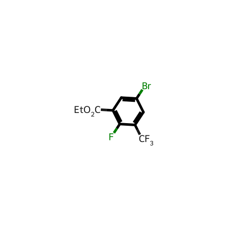 CCOC(=O)c1cc(Br)cc(C(F)(F)F)c1F